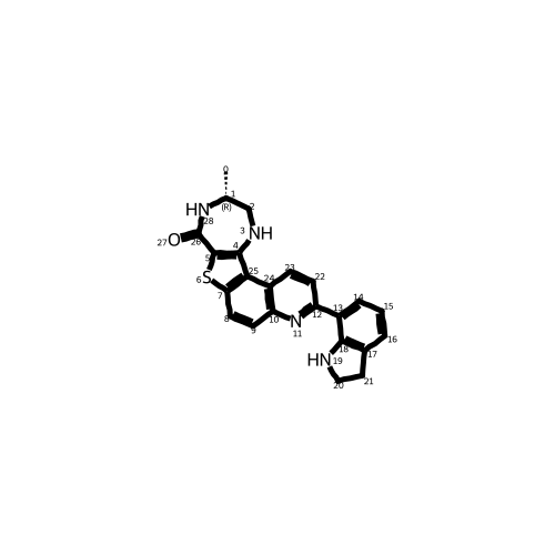 C[C@@H]1CNc2c(sc3ccc4nc(-c5cccc6c5NCC6)ccc4c23)C(=O)N1